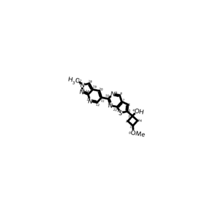 COC1CC(O)(c2cc3cnc(-c4cnc5nn(C)cc5c4)nc3s2)C1